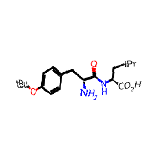 CC(C)C[C@H](NC(=O)[C@@H](N)Cc1ccc(OC(C)(C)C)cc1)C(=O)O